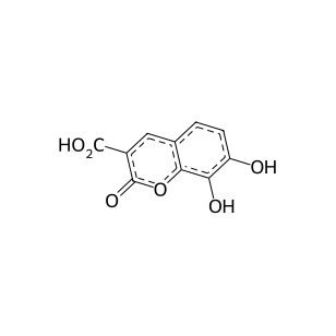 O=C(O)c1cc2ccc(O)c(O)c2oc1=O